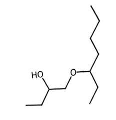 CCCCC(CC)OCC(O)CC